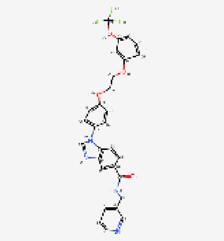 O=C(NCc1cccnc1)c1ccc2c(c1)ncn2-c1ccc(OCCOc2cccc(OC(F)(F)F)c2)cc1